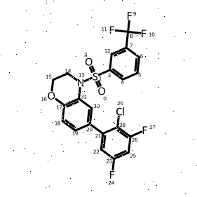 O=S(=O)(c1cccc(C(F)(F)F)c1)N1CCOc2ccc(-c3cc(F)cc(F)c3Cl)cc21